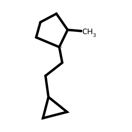 CC1CCC[C]1CCC1CC1